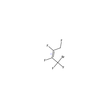 FC/C(F)=C(/F)C(F)(F)Br